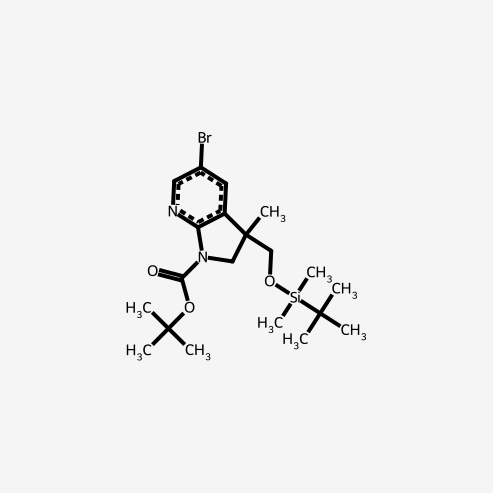 CC(C)(C)OC(=O)N1CC(C)(CO[Si](C)(C)C(C)(C)C)c2cc(Br)cnc21